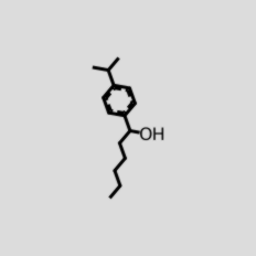 CCCCCC(O)c1ccc(C(C)C)cc1